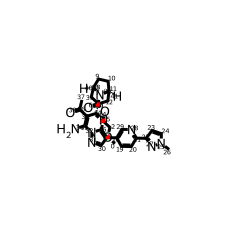 COCCOC(=O)N1[C@@H]2CC[C@H]1C[C@H](c1nc3c(-c4ccc(-c5ccn(C)n5)nc4)cnn3c(N)c1C(C)=O)C2